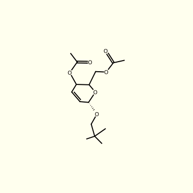 CC(=O)OCC1O[C@H](OCC(C)(C)C)C=CC1OC(C)=O